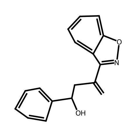 C=C(CC(O)c1ccccc1)c1noc2ccccc12